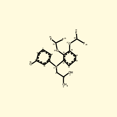 CC(O)CN(c1cccc(Cl)c1)c1cccc(OC(F)F)c1OC(F)F